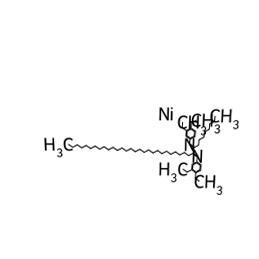 CCCCCCCCCCCCCCCCCCCCCCCCCCCCC(=Nc1ccc(CC)c(CC)c1)C(CCCCCCCC)=Nc1ccc(CC)c(CC)c1.[Ni]